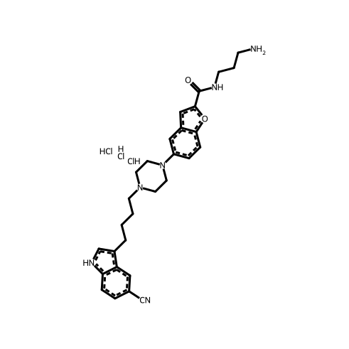 Cl.Cl.Cl.N#Cc1ccc2[nH]cc(CCCCN3CCN(c4ccc5oc(C(=O)NCCCN)cc5c4)CC3)c2c1